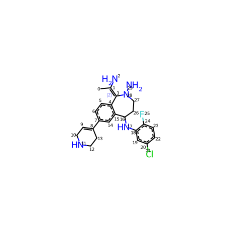 C/C(N)=C1\c2ccc(C3=CCNCC3)cc2C(Nc2cc(Cl)ccc2F)CCN1N